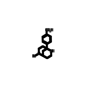 CCN1CCC2(c3ccc(C(=O)O)cc3)CC1CCN2